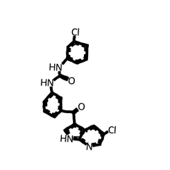 O=C(Nc1cccc(Cl)c1)Nc1cccc(C(=O)c2c[nH]c3ncc(Cl)cc23)c1